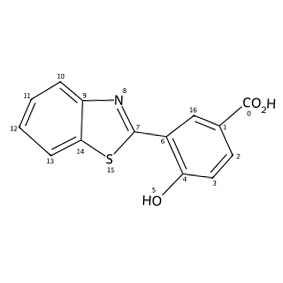 O=C(O)c1ccc(O)c(-c2nc3ccccc3s2)c1